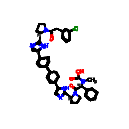 CN(C(=O)O)[C@@H](C(=O)N1CCC[C@H]1c1ncc(-c2ccc(-c3ccc(-c4cnc([C@@H]5CCCN5C(=O)Cc5cccc(Cl)c5)[nH]4)cc3)cc2)[nH]1)c1ccccc1